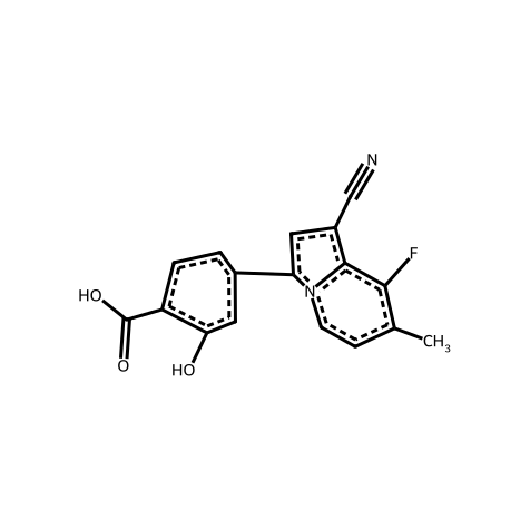 Cc1ccn2c(-c3ccc(C(=O)O)c(O)c3)cc(C#N)c2c1F